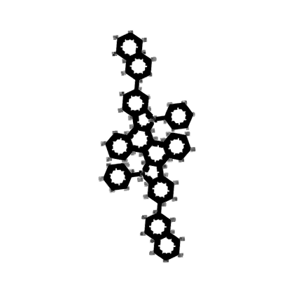 c1ccc(-n2c3cc(-c4ccc5ccccc5c4)ccc3c3c4ccccc4c4c(c5ccccc5c5c6ccc(-c7ccc8ccccc8c7)cc6n(-c6ccccc6)c54)c32)cc1